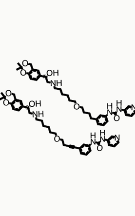 CC1(C)OCc2cc([C@@H](O)CNCCCCCCOCCC#Cc3cccc(NC(=O)Nc4cccnc4)c3)ccc2O1.CC1(C)OCc2cc([C@@H](O)CNCCCCCCOCCCCc3cccc(NC(=O)Nc4cccnc4)c3)ccc2O1